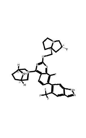 Fc1c(-c2cc3[nH]ncc3cc2C(F)(F)F)ccc2c(N3C[C@H]4CC[C@@H](C3)N4)nc(OC[C@@]34CCCN3C[C@H](F)C4)nc12